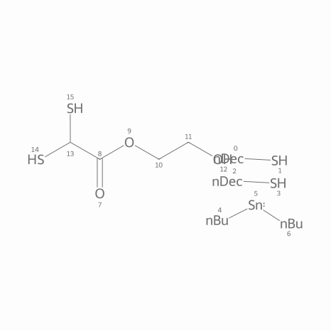 CCCCCCCCCCS.CCCCCCCCCCS.CCC[CH2][Sn][CH2]CCC.O=C(OCCO)C(S)S